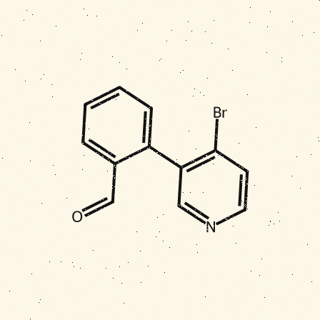 O=Cc1ccccc1-c1cnccc1Br